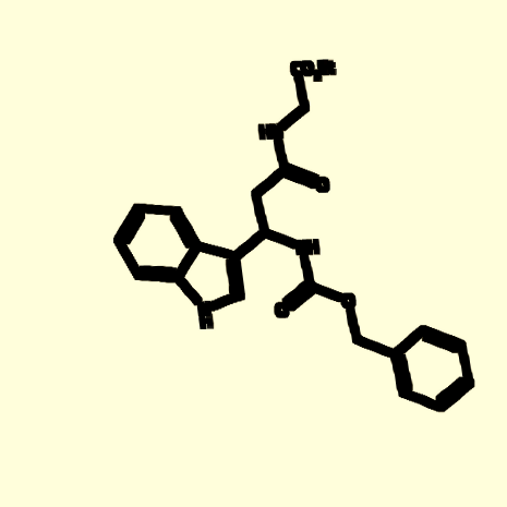 CCOC(=O)CNC(=O)CC(NC(=O)OCc1ccccc1)c1c[nH]c2ccccc12